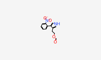 O=COCCc1c[nH]cc1-c1ccccc1[N+](=O)[O-]